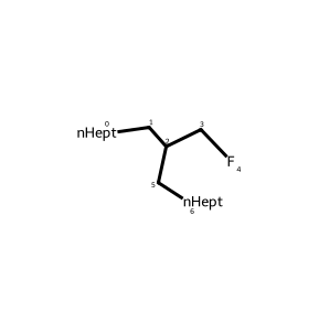 CCCCCCCCC(CF)CCCCCCCC